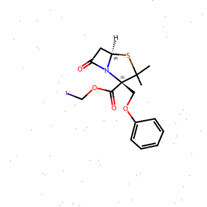 CC1(C)S[C@@H]2CC(=O)N2[C@@]1(COc1ccccc1)C(=O)OCI